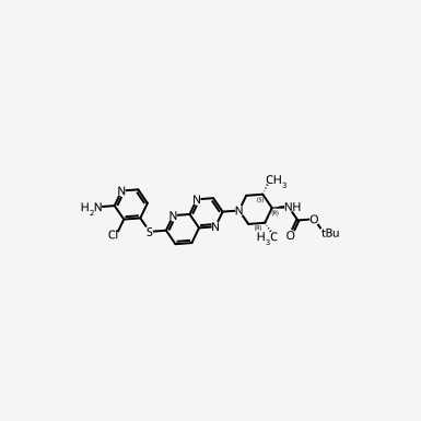 C[C@@H]1CN(c2cnc3nc(Sc4ccnc(N)c4Cl)ccc3n2)C[C@H](C)[C@H]1NC(=O)OC(C)(C)C